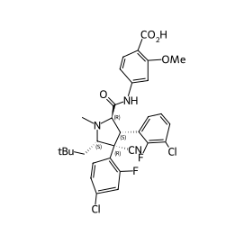 COc1cc(NC(=O)[C@H]2[C@H](c3cccc(Cl)c3F)[C@@](C#N)(c3ccc(Cl)cc3F)[C@H](CC(C)(C)C)N2C)ccc1C(=O)O